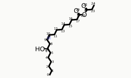 CCCCCC[C@@H](O)C/C=C\CCCCCCCC(=O)OC(=O)CC